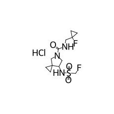 Cl.O=C(NCC1(F)CC1)N1CC(NS(=O)(=O)CF)C2(CC2)C1